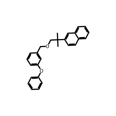 CC(C)(COCc1cccc(Oc2ccccc2)c1)c1ccc2ccccc2c1